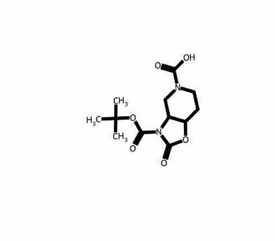 CC(C)(C)OC(=O)N1C(=O)OC2CCN(C(=O)O)CC21